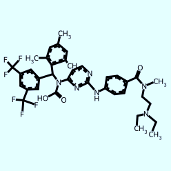 CCN(CC)CCN(C)C(=O)c1ccc(Nc2nccc(N(C(=O)O)C(c3cc(C(F)(F)F)cc(C(F)(F)F)c3)c3c(C)cc(C)cc3C)n2)cc1